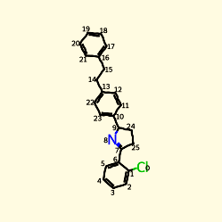 Clc1ccccc1C1=NC(c2ccc(CCc3ccccc3)cc2)CC1